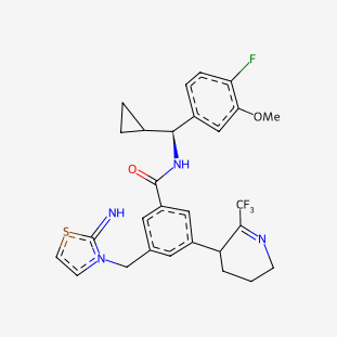 COc1cc([C@@H](NC(=O)c2cc(Cn3ccsc3=N)cc(C3CCCN=C3C(F)(F)F)c2)C2CC2)ccc1F